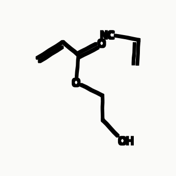 C=CC#N.C=CC(=O)OCCO